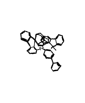 CC1(C)c2ccccc2-c2cccc(N(c3ccc(-c4ccccc4)cc3)c3cccc4c3C3(c5ccccc5-4)C4CC5CC(C4)CC3C5)c21